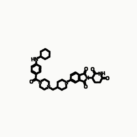 O=C1CCC(N2C(=O)c3ccc(N4CCC(CN5CCN(C(=O)c6ccc(NC7CCCCC7)cc6)CC5)CC4)cc3C2=O)C(=O)N1